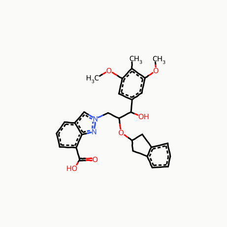 COc1cc(C(O)C(Cn2cc3cccc(C(=O)O)c3n2)OC2Cc3ccccc3C2)cc(OC)c1C